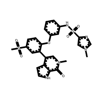 Cn1cnc(S(=O)(=O)Nc2cccc(Oc3ccc(S(C)(=O)=O)cc3-c3cn(C)c(=O)c4[nH]ccc34)c2)c1